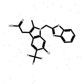 Cc1c(CC(=O)O)c2cc(C(F)(F)F)c(Cl)cc2n1Cc1nc2ccccc2s1